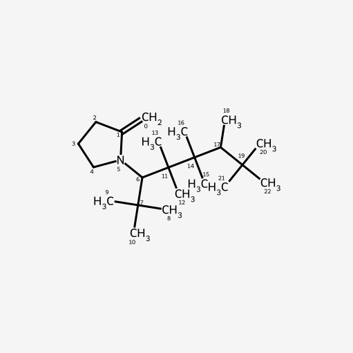 C=C1CCCN1C(C(C)(C)C)C(C)(C)C(C)(C)C(C)C(C)(C)C